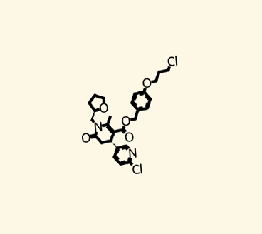 CC1=C(C(=O)OCc2ccc(OCCCCl)cc2)[C@H](c2ccc(Cl)nc2)CC(=O)N1C[C@H]1CCCO1